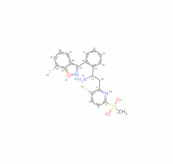 CS(=O)(=O)c1ccc(F)c(CC(N)c2ccccc2-c2noc3c(F)cccc23)n1